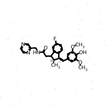 COc1cc(/C=C2\c3ccc(F)cc3C(CC(=O)NCc3cnccn3)[C@@H]2C)cc(OC)c1O